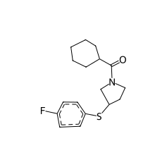 O=C(C1CCCCC1)N1CCC(Sc2ccc(F)cc2)C1